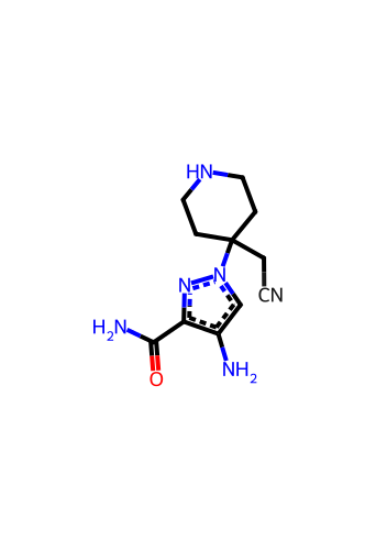 N#CCC1(n2cc(N)c(C(N)=O)n2)CCNCC1